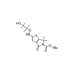 CC(C)(C)OC(=O)N1C(=O)c2cc(BOC(C)(C)C(C)(C)O)sc2C1(C)C